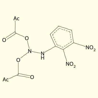 CC(=O)C(=O)ON(Nc1cccc([N+](=O)[O-])c1[N+](=O)[O-])OC(=O)C(C)=O